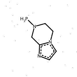 PN1CCn2ccnc2C1